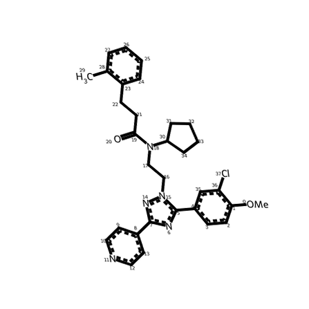 COc1ccc(-c2nc(-c3ccncc3)nn2CCN(C(=O)CCc2ccccc2C)C2CCCC2)cc1Cl